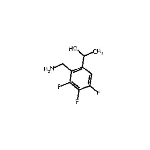 CC(O)c1cc(F)c(F)c(F)c1CN